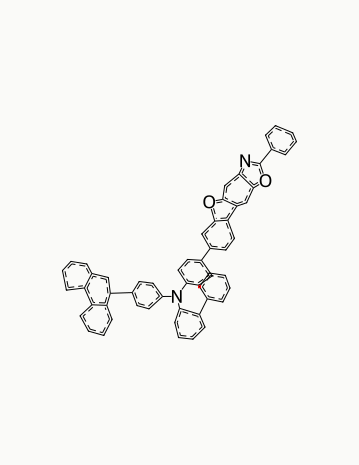 c1ccc(-c2nc3cc4oc5cc(-c6ccc(N(c7ccc(-c8cc9ccccc9c9ccccc89)cc7)c7ccccc7-c7ccccc7)cc6)ccc5c4cc3o2)cc1